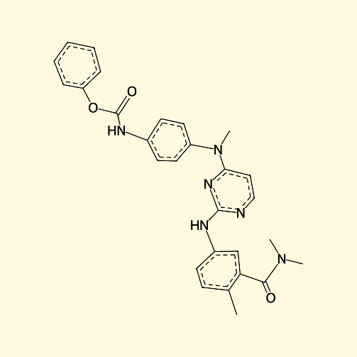 Cc1ccc(Nc2nccc(N(C)c3ccc(NC(=O)Oc4ccccc4)cc3)n2)cc1C(=O)N(C)C